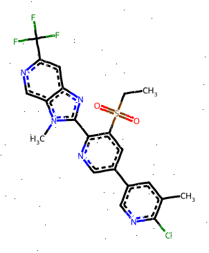 CCS(=O)(=O)c1cc(-c2cnc(Cl)c(C)c2)cnc1-c1nc2cc(C(F)(F)F)ncc2n1C